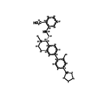 Cc1cc(N2CCCC2)ccc1-c1ccc2c(c1)CCN(C)[C@@H]2CNc1cnccc1C(=O)O